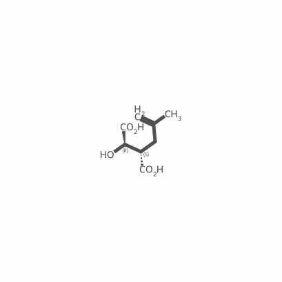 C=C(C)C[C@H](C(=O)O)[C@@H](O)C(=O)O